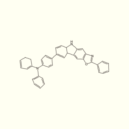 C1=CCCC(N(c2ccccc2)c2ccc(C3=CC4c5cc6oc(-c7ccccc7)nc6cc5NC4C=C3)cc2)=C1